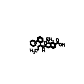 CCCC(NC(=O)Cc1ccc(C(=O)O)cc1OC)c1ccccc1N1CCCCC1